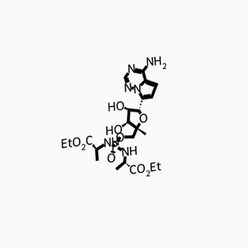 CCOC(=O)[C@H](C)NP(=O)(N[C@@H](C)C(=O)OCC)OC[C@@]1(C)O[C@@H](c2ccc3c(N)ncnn23)[C@H](O)[C@@H]1O